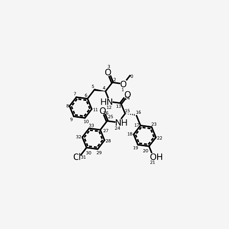 COC(=O)[C@H](Cc1ccccc1)NC(=O)[C@H](Cc1ccc(O)cc1)NC(=O)c1ccc(Cl)cc1